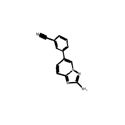 N#Cc1cccc(-c2ccc3nc(N)nn3c2)c1